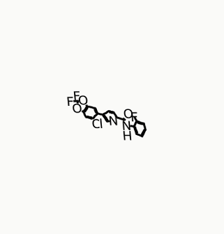 O=C(Nc1ccccc1F)c1ccc(-c2cc3c(cc2Cl)OC(F)(F)O3)cn1